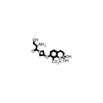 N[C@@H](CO)C(=O)N1CC(Oc2ccc3c(c2C(=O)O)O[B-](O)(O)CC3)C1